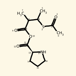 CC(=O)SC(C)C(C)C(=O)OC(=O)[C@@H]1CCCN1